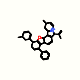 C=C(C)[C@H]1C2=C(C3=[N+]1C=CC(C)C3)C1OC3=C(C(c4ccccc4)=CCC3C3=CC=CC(C)C3)C1C=C2